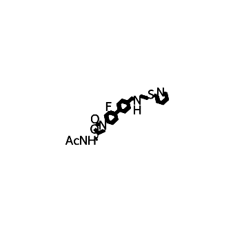 CC(=O)NC[C@H]1CN(c2ccc(-c3ccc(CNCCSc4ccccn4)cc3)c(F)c2)C(=O)O1